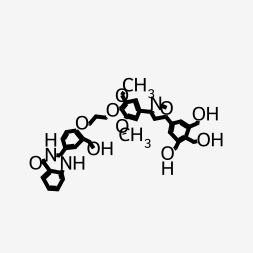 COc1cc(C2=NOC(c3cc(CO)c(CO)c(CO)c3)C2)cc(OC)c1OCCCOc1ccc(C2NC(=O)c3ccccc3N2)cc1CO